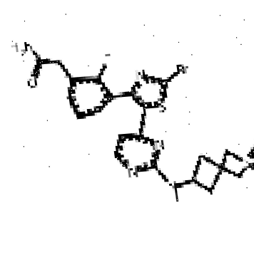 NC(=O)Cc1cccc(-c2nc(Br)sc2-c2ccnc(NC3CC4(C3)CS(=O)(=O)C4)n2)c1F